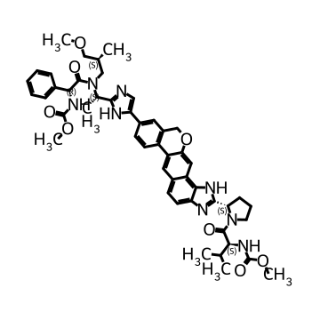 COC[C@@H](C)CN(C(=O)[C@H](NC(=O)OC)c1ccccc1)[C@@H](C)c1ncc(-c2ccc3c(c2)COc2cc4c(ccc5nc([C@@H]6CCCN6C(=O)[C@@H](NC(=O)OC)C(C)C)[nH]c54)cc2-3)[nH]1